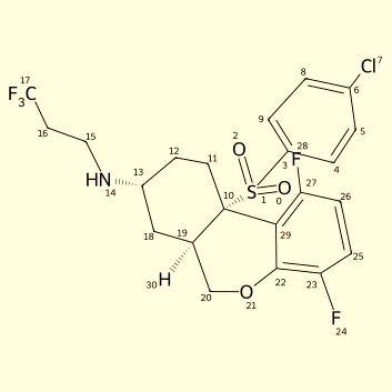 O=S(=O)(c1ccc(Cl)cc1)[C@@]12CC[C@@H](NCCC(F)(F)F)C[C@@H]1COc1c(F)ccc(F)c12